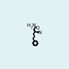 N#CC(=CC(N)=O)CCCc1ccccc1